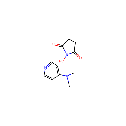 CN(C)c1ccncc1.O=C1CCC(=O)N1O